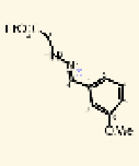 CCOC(=O)CN/N=C/c1cccc(OC)c1